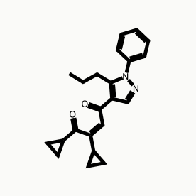 CCCc1c(C(=O)C=C(C(=O)C2CC2)C2CC2)cnn1-c1ccccc1